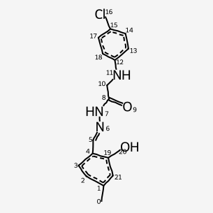 Cc1ccc(/C=N/NC(=O)CNc2ccc(Cl)cc2)c(O)c1